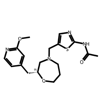 COc1cc(C[C@@H]2CN(Cc3cnc(NC(C)=O)s3)CCCO2)ccn1